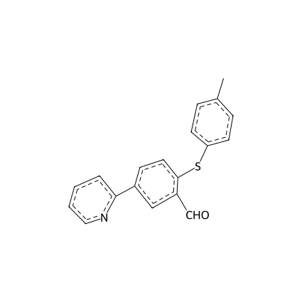 Cc1ccc(Sc2ccc(-c3ccccn3)cc2C=O)cc1